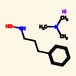 CN(C)C.I.ONCCCc1ccccc1